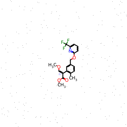 CO/C=C(/C(=O)OC)c1cc(COc2cccc(C(F)(F)F)n2)ccc1C